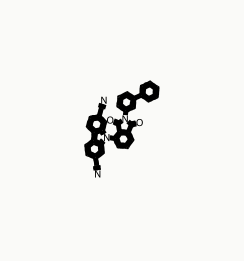 N#Cc1ccc2c3ccc(C#N)cc3n(-c3cccc4c3C(=O)N(c3cccc(-c5ccccc5)c3)C4=O)c2c1